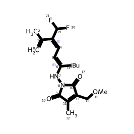 C=C(C)/C(=C\C=C(\NN1C(=O)C(C)=C(COC)C1=O)C(C)CC)C(F)F